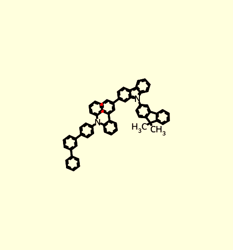 CC1(C)c2ccccc2-c2cc(-n3c4ccccc4c4ccc(-c5cccc(-c6ccccc6N(c6ccccc6)c6ccc(-c7cccc(-c8ccccc8)c7)cc6)c5)cc43)ccc21